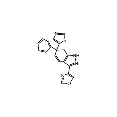 C1=CC(c2ccccc2)(c2cncs2)Cc2[nH]nc(-c3cocn3)c21